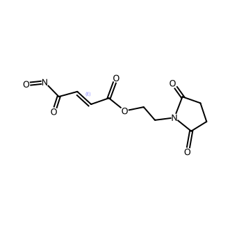 O=NC(=O)/C=C/C(=O)OCCN1C(=O)CCC1=O